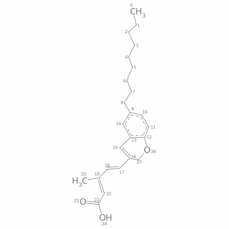 CCCCCCCCCc1ccc2c(c1)C=C(C=CC(C)=CC(=O)O)CO2